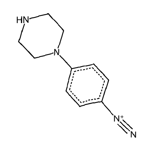 N#[N+]c1ccc(N2CCNCC2)cc1